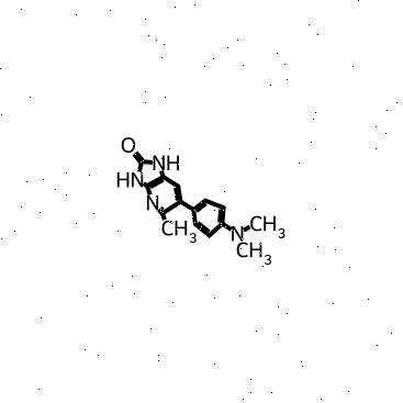 Cc1nc2[nH]c(=O)[nH]c2cc1-c1ccc(N(C)C)cc1